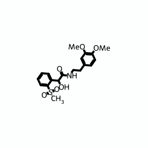 COc1ccc(CCNC(=O)C(O)c2ccccc2S(C)(=O)=O)cc1OC